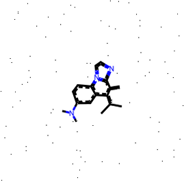 C=c1c(=C(C)C)c2cc(N(C)C)ccc2n2ccnc12